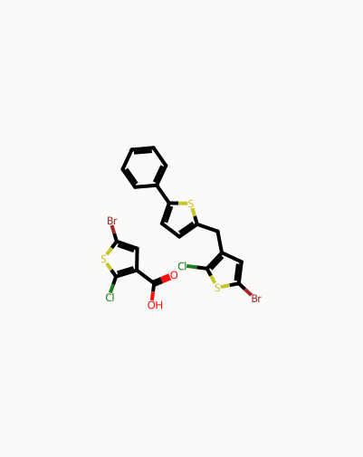 Clc1sc(Br)cc1Cc1ccc(-c2ccccc2)s1.O=C(O)c1cc(Br)sc1Cl